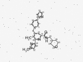 Cc1c(Cc2ccc(-n3cccn3)cc2)cc(C(=O)NCC2CCOCC2)nc1-c1ccn(C)n1